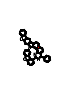 c1ccc(-c2nc(-c3cccc4oc5ccc(-n6c7ccccc7c7cc8c(cc76)oc6ccccc68)cc5c34)nc3ccccc23)cc1